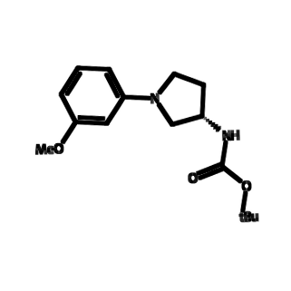 COc1cccc(N2CC[C@H](NC(=O)OC(C)(C)C)C2)c1